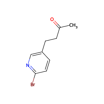 CC(=O)CCc1ccc(Br)nc1